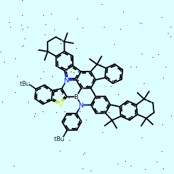 CC(C)(C)c1ccc(N2B3c4sc5ccc(C(C)(C)C)cc5c4-n4c5cc6c(cc5c5c7c(c(c3c54)-c3cc4c(cc32)C(C)(C)c2cc3c(cc2-4)C(C)(C)CCC3(C)C)-c2ccccc2C7(C)C)C(C)(C)CCC6(C)C)cc1